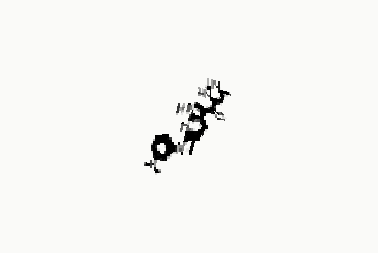 CN/C(=C\C(C)=N)C(=O)c1c[nH]c2nc(Nc3cccc(N(C)C)c3)ccc12